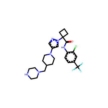 O=C(Nc1ccc(C(F)(F)F)cc1Cl)C1(n2cc(N3CCC(CN4CCNCC4)CC3)cn2)CCC1